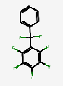 Fc1c(F)c(F)c(C(F)(F)c2[c]cccc2)c(F)c1F